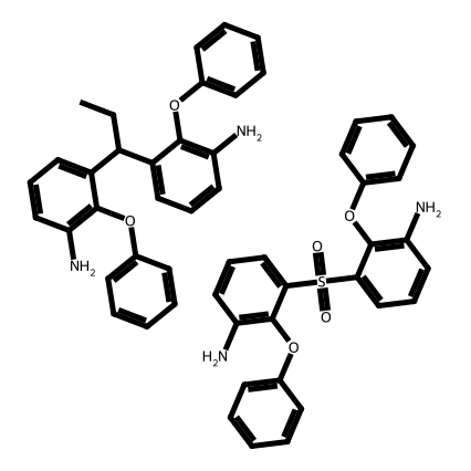 CCC(c1cccc(N)c1Oc1ccccc1)c1cccc(N)c1Oc1ccccc1.Nc1cccc(S(=O)(=O)c2cccc(N)c2Oc2ccccc2)c1Oc1ccccc1